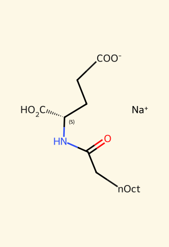 CCCCCCCCCC(=O)N[C@@H](CCC(=O)[O-])C(=O)O.[Na+]